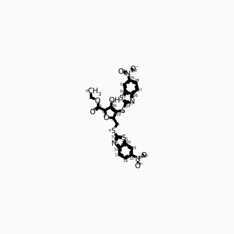 CCOC(=O)C1OC(CSc2nc3ccc([N+](=O)[O-])cc3s2)C(Sc2nc3ccc([N+](=O)[O-])cc3s2)=C1O